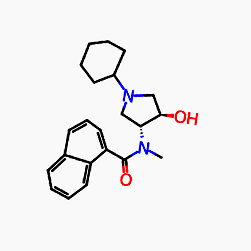 CN(C(=O)c1cccc2ccccc12)[C@@H]1CN(C2CCCCC2)C[C@H]1O